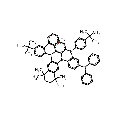 Cc1cc2c3c(c1)N(c1ccc(C(C)(C)C)cc1-c1ccccc1)c1cc4c(cc1B3c1ccc(N(c3ccccc3)c3ccccc3)cc1N2c1ccc(C(C)(C)C)cc1)C(C)(C)CCC4(C)C